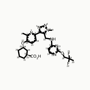 Cc1nc(-c2nnn(C)c2CNc2ccnc(OCC(C)(F)F)n2)ccc1O[C@H]1CCC[C@H](C(=O)O)C1